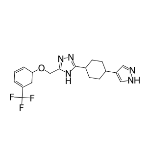 FC(F)(F)C1=CC=CC(OCc2nnc(C3CCC(c4cn[nH]c4)CC3)[nH]2)C1